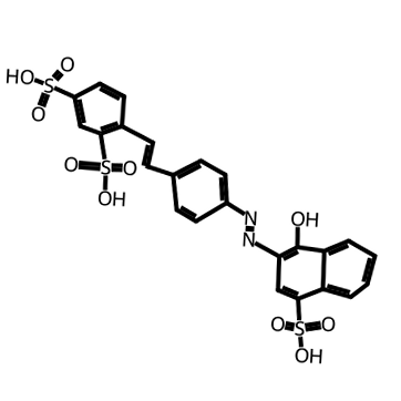 O=S(=O)(O)c1ccc(C=Cc2ccc(N=Nc3cc(S(=O)(=O)O)c4ccccc4c3O)cc2)c(S(=O)(=O)O)c1